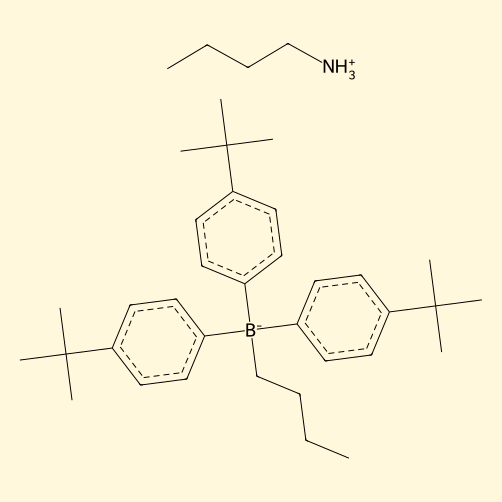 CCCC[B-](c1ccc(C(C)(C)C)cc1)(c1ccc(C(C)(C)C)cc1)c1ccc(C(C)(C)C)cc1.CCCC[NH3+]